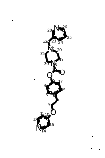 O=C(Oc1ccc(CCOc2ccncc2)cc1)N1CCN(Cc2cccnc2)CC1